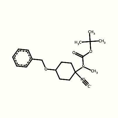 [C-]#[N+]C1(N(C)C(=O)OC(C)(C)C)CCC(OCc2ccccc2)CC1